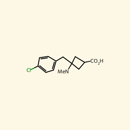 CNC1(Cc2ccc(Cl)cc2)CC(C(=O)O)C1